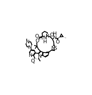 CCn1c(-c2cc(N3CCN(C)CC3)cnc2[C@H](C)OC)c2c3cc(ccc31)-c1csc(n1)C[C@H](NC(=O)[C@H]1C[C@@H]1C)C(=O)N1CCC[C@H](N1)C(=O)OCC(C)(C)C2